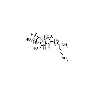 CC(O)[C@H](NC(=O)[C@H](CO)NC(=O)N[C@@H](CCC(=O)O)c1nc([C@@H](N)CCCCN)no1)C(=O)O